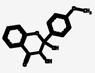 COc1ccc(C2(O)Oc3ccccc3C(=O)C2O)cc1